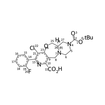 CC(C)(C)OC(=O)N1CCN2Cc3c(C(=O)O)nc(-c4ccccc4F)c(Cl)c3OC[C@H]2C1